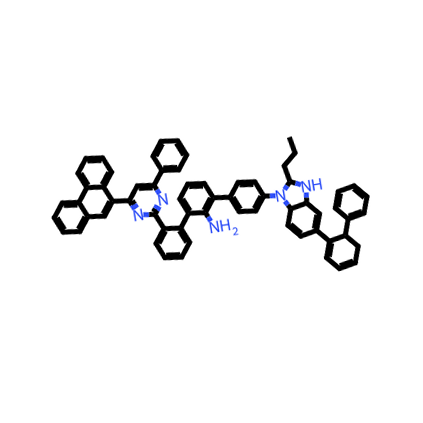 CCCC1NC2C=C(C3=CC=CCC3c3ccccc3)C=CC2N1c1ccc(-c2cccc(-c3ccccc3-c3nc(-c4ccccc4)cc(-c4cc5ccccc5c5ccccc45)n3)c2N)cc1